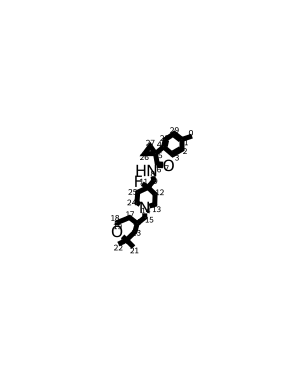 Cc1ccc(C2(C(=O)NCC3(F)CCN(CC4CCOC(C)(C)C4)CC3)CC2)cc1